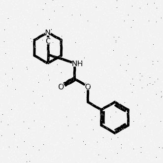 O=C(NC1CN2CCC1CC2)OCc1ccccc1